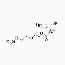 CCC(C)C(NC(=O)OCCOCCO[N+](=O)[O-])C(=O)O